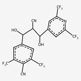 N#Cc1c(C(F)(F)F)cc(C(O)C(C#N)C(O)c2cc(C(F)(F)F)nc(C(F)(F)F)c2)cc1C(F)(F)F